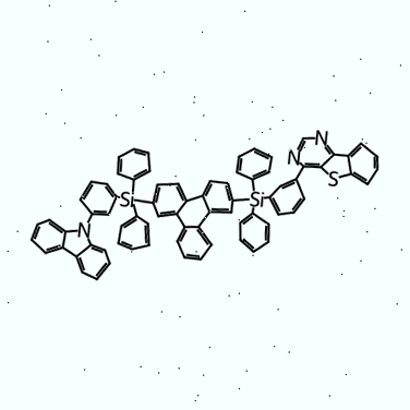 c1ccc([Si](c2ccccc2)(c2cccc(-c3ncnc4c3sc3ccccc34)c2)c2ccc3c4ccc([Si](c5ccccc5)(c5ccccc5)c5cccc(-n6c7ccccc7c7ccccc76)c5)cc4c4ccccc4c3c2)cc1